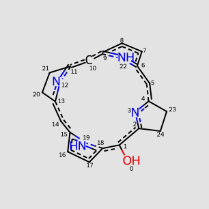 Oc1c2nc(cc3ccc(cc4nc(cc5ccc1[nH]5)CC4)[nH]3)CC2